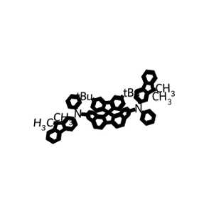 CC(C)(C)c1ccc2c(c1)-c1cc(C(C)(C)C)ccc1C21c2c(ccc3cc(N(c4ccccc4)c4ccc5c(c4)C(C)(C)c4ccccc4-5)ccc23)-c2ccc3cc(N(c4ccccc4)c4ccc5c(c4)C(C)(C)c4ccccc4-5)ccc3c21